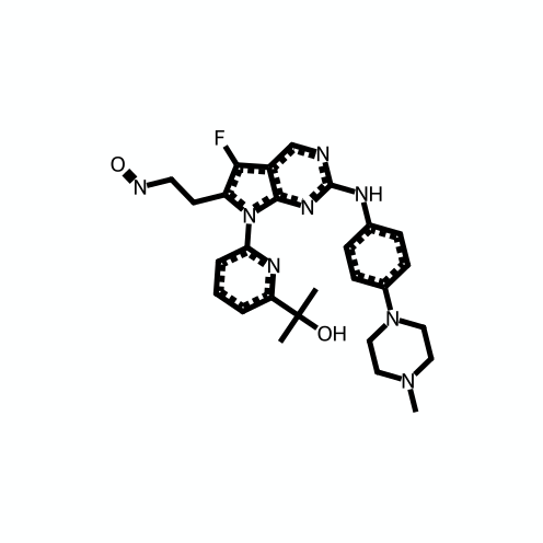 CN1CCN(c2ccc(Nc3ncc4c(F)c(CCN=O)n(-c5cccc(C(C)(C)O)n5)c4n3)cc2)CC1